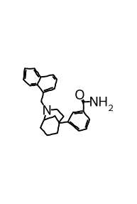 NC(=O)c1cccc(C23CCCC(C2)N(Cc2cccc4ccccc24)CC3)c1